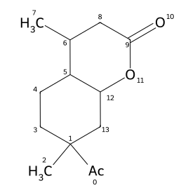 CC(=O)C1(C)CCC2C(C)CC(=O)OC2C1